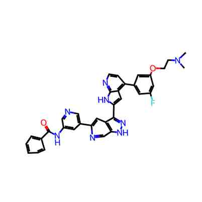 CN(C)CCOc1cc(F)cc(-c2ccnc3[nH]c(-c4n[nH]c5cnc(-c6cncc(NC(=O)c7ccccc7)c6)cc45)cc23)c1